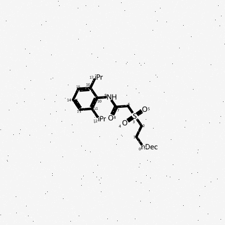 CCCCCCCCCCCCS(=O)(=O)CC(=O)Nc1c(C(C)C)cccc1C(C)C